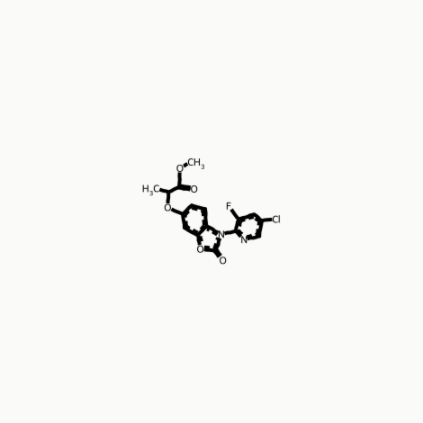 COC(=O)C(C)Oc1ccc2c(c1)oc(=O)n2-c1ncc(Cl)cc1F